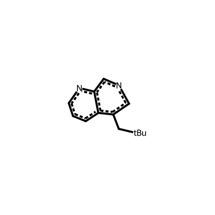 CC(C)(C)Cc1cncc2ncccc12